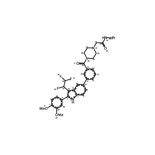 COc1ccc(-c2[nH]c3ccc(-c4cccc(C(=O)N5CCN(CC(=O)NC(C)C)CC5)c4)cc3c2C(F)C(F)F)cc1OC